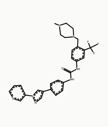 CN1CCN(Cc2ccc(NC(=O)Nc3ccc(-c4cnn(-c5cccnc5)c4)cc3)cc2C(F)(F)F)CC1